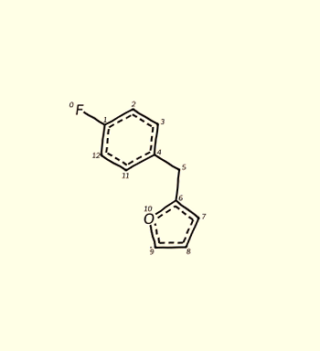 Fc1ccc(Cc2cc[c]o2)cc1